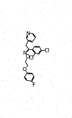 Fc1ccc(OCCON=C(Cc2cccnc2)c2ccc(Cl)cc2Cl)cc1